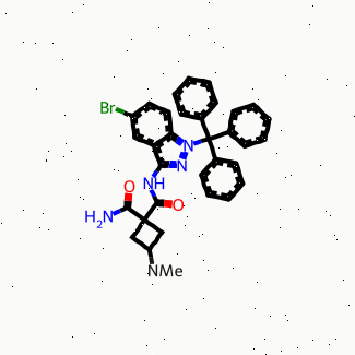 CNC1CC(C(N)=O)(C(=O)Nc2nn(C(c3ccccc3)(c3ccccc3)c3ccccc3)c3ccc(Br)cc23)C1